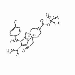 CC(C)(C)OC(=O)N1CC[C@](CC#N)(n2cc(C(N)=O)c(Nc3ccc(F)cc3)n2)[C@H](F)C1